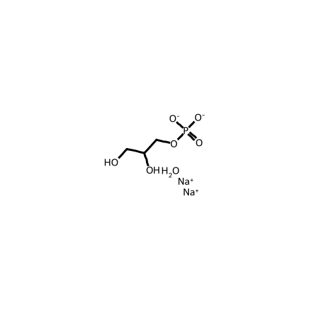 O.O=P([O-])([O-])OCC(O)CO.[Na+].[Na+]